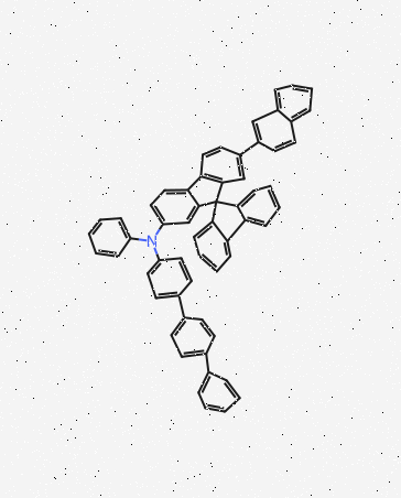 c1ccc(-c2ccc(-c3ccc(N(c4ccccc4)c4ccc5c(c4)C4(c6ccccc6-c6ccccc64)c4cc(-c6ccc7ccccc7c6)ccc4-5)cc3)cc2)cc1